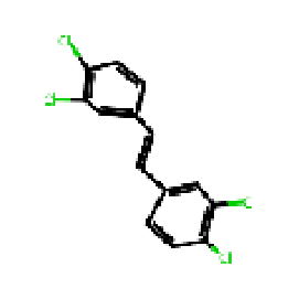 Clc1ccc(C=Cc2ccc(Cl)c(Cl)c2)cc1Cl